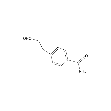 NC(=O)c1ccc(CCC=O)cc1